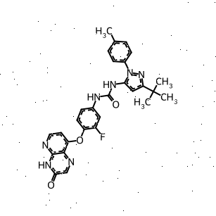 Cc1ccc(-n2nc(C(C)(C)C)cc2NC(=O)Nc2ccc(Oc3ccnc4[nH]c(=O)cnc34)c(F)c2)cc1